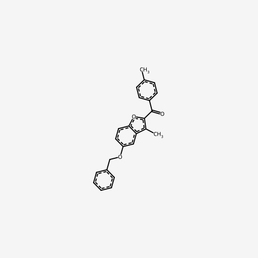 Cc1ccc(C(=O)c2oc3ccc(OCc4ccccc4)cc3c2C)cc1